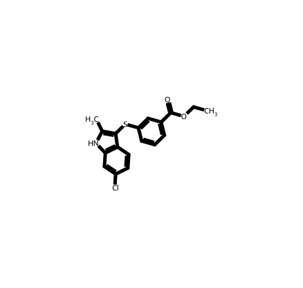 CCOC(=O)c1cccc(Sc2c(C)[nH]c3cc(Cl)ccc23)c1